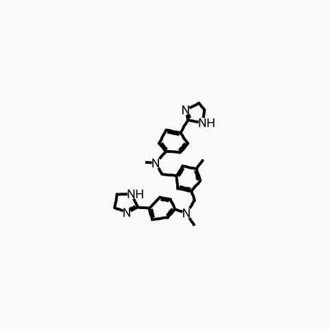 Cc1cc(CN(C)c2ccc(C3=NCCN3)cc2)cc(CN(C)c2ccc(C3=NCCN3)cc2)c1